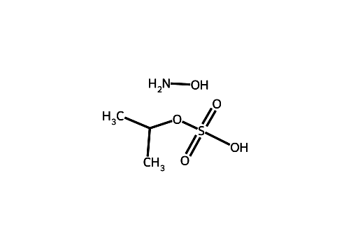 CC(C)OS(=O)(=O)O.NO